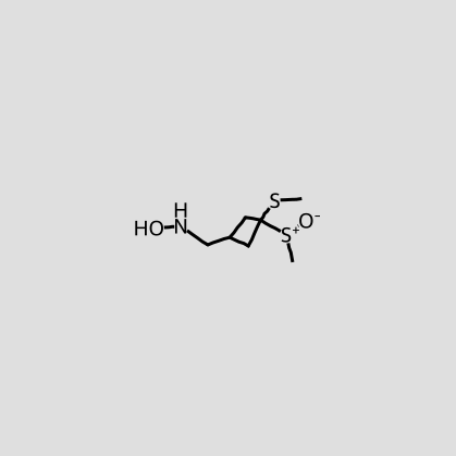 CSC1([S+](C)[O-])CC(CNO)C1